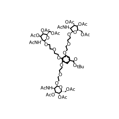 CC(=O)N[C@H]1[C@H](OCCOCCOc2cc(C(=O)OC(C)(C)C)cc(OCCOCCO[C@@H]3O[C@H](COC(C)=O)[C@H](OC(C)=O)[C@H](OC(C)=O)[C@H]3NC(C)=O)c2OCCOCCO[C@@H]2O[C@H](COC(C)=O)[C@H](OC(C)=O)C(OC(C)=O)[C@H]2NC(C)=O)O[C@H](COC(C)=O)[C@H](OC(C)=O)[C@@H]1OC(C)=O